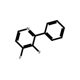 Fc1ccnc(-c2ccccc2)c1F